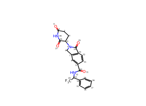 O=C1CCC(N2Cc3cc(C(=O)NC(c4ccccc4)C(F)(F)F)ccc3C2=O)C(=O)N1